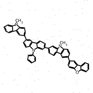 Cn1c2ccccc2c2cc(-c3ccc4c(c3)c3ccc(-c5ccc6c7cc(-c8ccc9oc%10ccccc%10c9c8)ccc7n(C)c6c5)cc3n4-c3ccccc3)ccc21